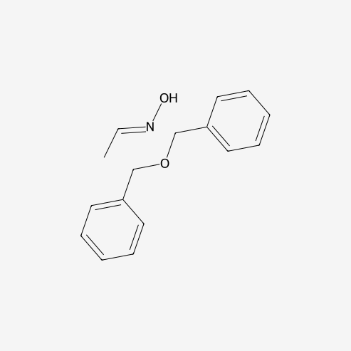 CC=NO.c1ccc(COCc2ccccc2)cc1